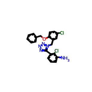 Nc1cccc(-c2nnnn2Cc2cc(Cl)ccc2OCc2ccccc2)c1Cl